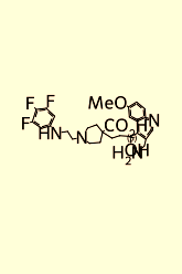 COc1ccc2ncc(CN)c([C@@H](O)CCC3(C(=O)O)CCN(CCNc4cc(F)c(F)c(F)c4)CC3)c2c1